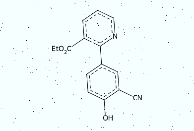 CCOC(=O)c1cccnc1-c1ccc(O)c(C#N)c1